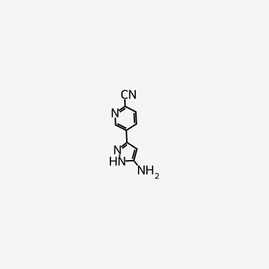 N#Cc1ccc(-c2cc(N)[nH]n2)cn1